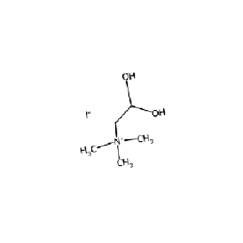 C[N+](C)(C)CC(O)O.[I-]